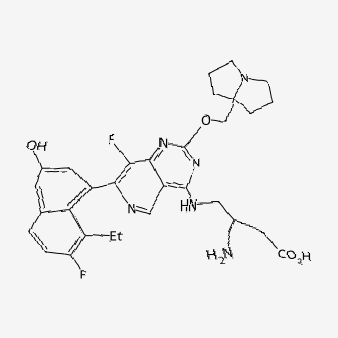 CCc1c(F)ccc2cc(O)cc(-c3ncc4c(NCC(N)CC(=O)O)nc(OCC56CCCN5CCC6)nc4c3F)c12